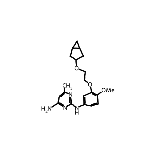 COc1ccc(Nc2nc(C)cc(N)n2)cc1OCCOC1CC2CC2C1